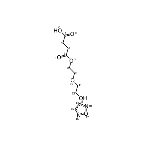 O=C(O)CCC(=O)OCCOCCO.c1cnon1